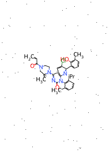 C=CC(=O)N1CCN(c2nc(=O)n(-c3c(C)cccc3C(C)C)c3nc(-c4cccc(C)c4O)c(Cl)cc23)[C@@H](C)C1